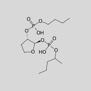 CCCCOP(=O)(O)O[C@H]1CCO[C@@H]1OP(=O)(O)OC(C)CCC